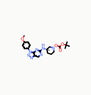 COc1ccc(-n2nnc3cnc(N[C@@H]4CCCN(OC(=O)OC(C)(C)C)C4)nc32)cc1